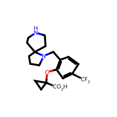 O=C(O)C1(Oc2cc(C(F)(F)F)ccc2CN2CCCC23CCNCC3)CC1